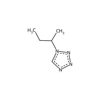 CCC(C)n1cnnn1